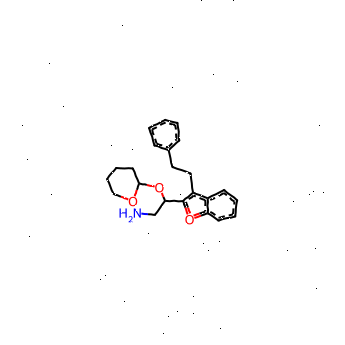 NCC(OC1CCCCO1)c1oc2ccccc2c1CCc1ccccc1